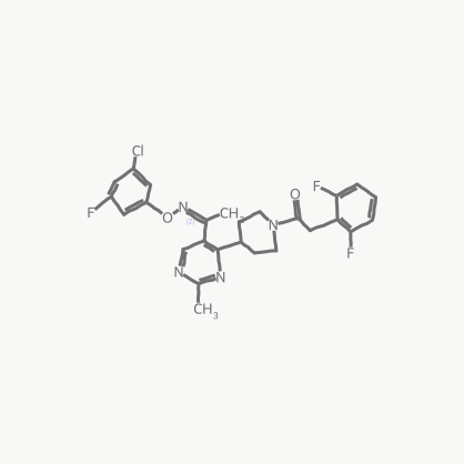 C/C(=N/Oc1cc(F)cc(Cl)c1)c1cnc(C)nc1C1CCN(C(=O)Cc2c(F)cccc2F)CC1